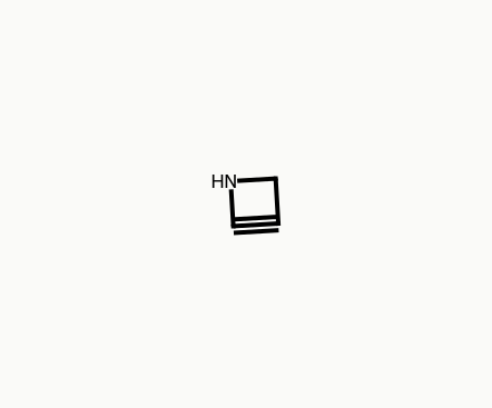 C1#CNC1